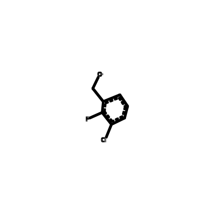 [O]Cc1cccc(Cl)c1F